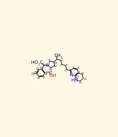 C[C@@H](CCCCc1ccc2c(n1)NCCC2)C1CCN([C@@H](C(=O)O)c2cc(F)ccc2CO)C1